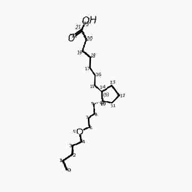 CCCCCOCCCC[C@H]1CCC[C@@H]1CCCCCCC(=O)O